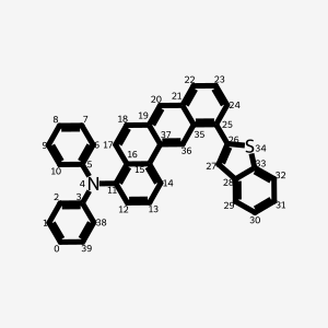 c1ccc(N(c2ccccc2)c2cccc3c2ccc2cc4cccc(-c5cc6ccccc6s5)c4cc23)cc1